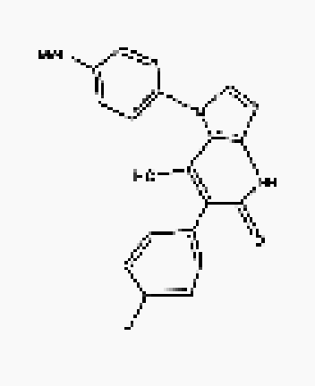 COc1ccc(-n2ccc3[nH]c(=O)c(-c4ccc(F)cc4)c(O)c32)cc1